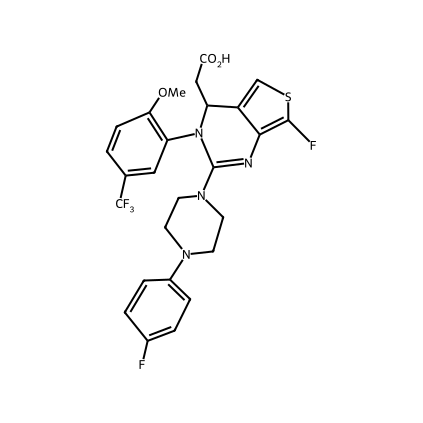 COc1ccc(C(F)(F)F)cc1N1C(N2CCN(c3ccc(F)cc3)CC2)=Nc2c(csc2F)C1CC(=O)O